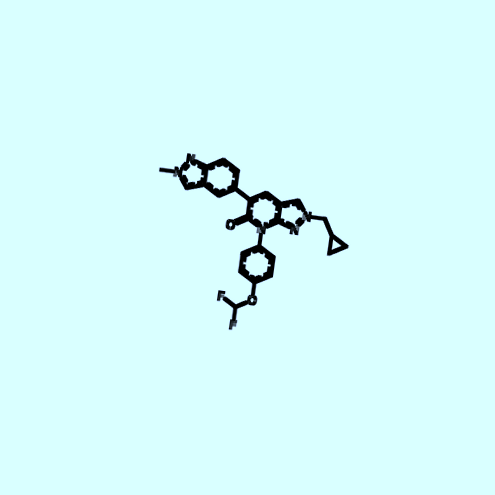 Cn1cc2cc(-c3cc4cn(CC5CC5)nc4n(-c4ccc(OC(F)F)cc4)c3=O)ccc2n1